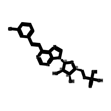 O=P(O)(O)OC[C@H]1O[C@@H](n2cnc3c(C=Cc4cccc(Cl)c4)ncnc32)[C@H](O)[C@H]1O